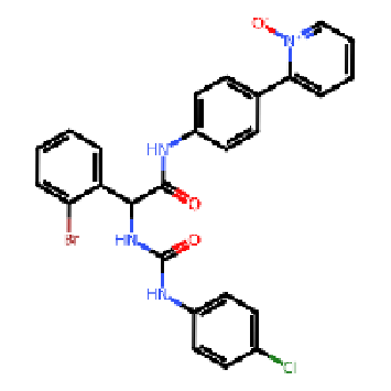 O=C(Nc1ccc(Cl)cc1)NC(C(=O)Nc1ccc(-c2cccc[n+]2[O-])cc1)c1ccccc1Br